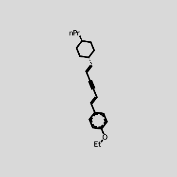 CCC[C@H]1CC[C@H](/C=C/C#C/C=C/c2ccc(OCC)cc2)CC1